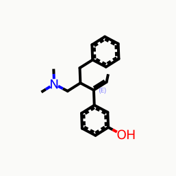 C/C=C(/c1cccc(O)c1)C(Cc1ccccc1)CN(C)C